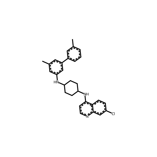 Cc1cccc(-c2cc(C)cc(NC3CCC(Nc4ccnc5cc(Cl)ccc45)CC3)c2)c1